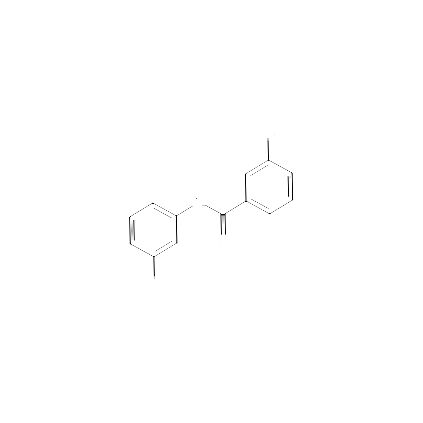 CCc1cccc(C(=O)Nc2cccc(C(=O)O)c2)c1